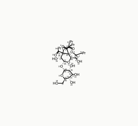 CC(C)C(=O)O[C@]1(C(=O)C(C)C)[C@@H](CO)O[C@H](O[C@H]2O[C@H](CO)[C@@H](O)[C@H](O)[C@H]2O)[C@H](O)[C@]1(OC(=O)C(C)C)C(=O)C(C)C